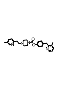 Cc1ccc(CCN2CCN(C(=O)Oc3ccc(Cc4ncccc4C)cc3)CC2)nc1